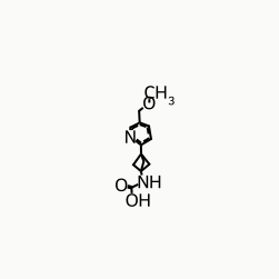 COCc1ccc(C23CC(NC(=O)O)(C2)C3)nc1